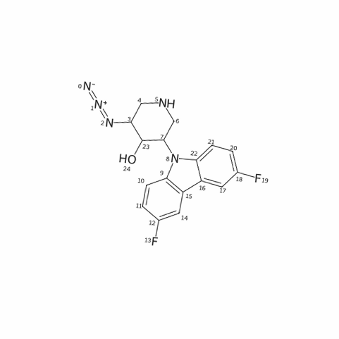 [N-]=[N+]=NC1CNCC(n2c3ccc(F)cc3c3cc(F)ccc32)C1O